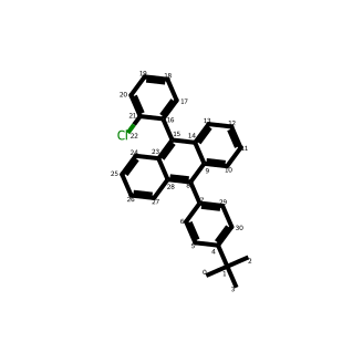 CC(C)(C)c1ccc(-c2c3ccccc3c(-c3ccccc3Cl)c3ccccc23)cc1